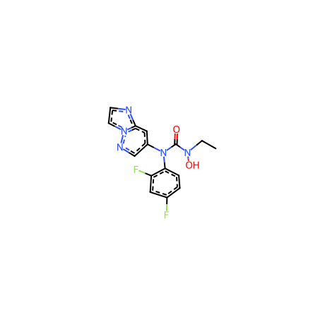 CCN(O)C(=O)N(c1cnn2ccnc2c1)c1ccc(F)cc1F